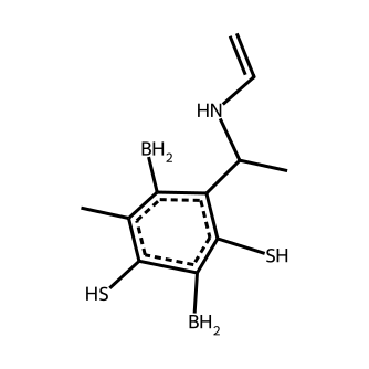 Bc1c(S)c(C)c(B)c(C(C)NC=C)c1S